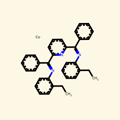 CCc1ccccc1N=C(c1ccccc1)c1cccc(C(=Nc2ccccc2CC)c2ccccc2)n1.[Co]